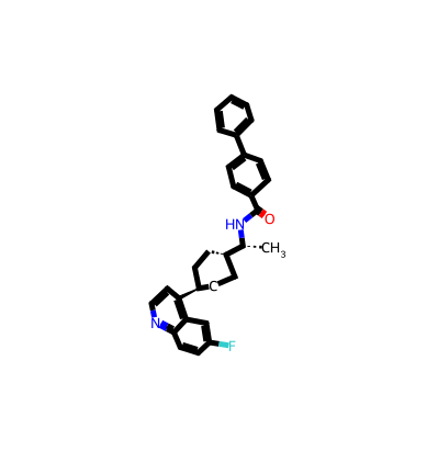 C[C@@H](NC(=O)c1ccc(-c2ccccc2)cc1)[C@H]1CC[C@H](c2ccnc3ccc(F)cc32)CC1